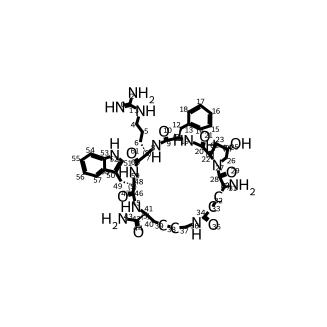 N=C(N)NCCC[C@@H]1NC(=O)[C@@H](Cc2ccccc2)NC(=O)[C@@H]2C[C@@H](O)CN2C(=O)[C@@H](N)CCC(=O)NCCCC[C@@H](C(N)=O)NC(=O)[C@H](Cc2c[nH]c3ccccc23)NC1=O